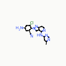 Cc1cc(Nc2nccc3nn(-c4c(Cl)cc(N)cc4C#N)cc23)ncn1